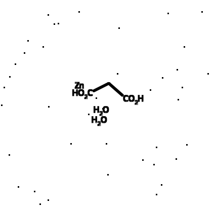 O.O.O=C(O)CC(=O)O.[Zn]